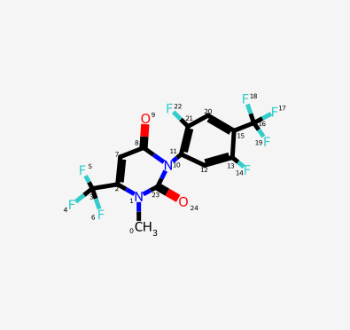 Cn1c(C(F)(F)F)cc(=O)n(-c2cc(F)c(C(F)(F)F)cc2F)c1=O